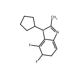 Cc1nc2c(n1C1CCCC1)=C(F)C(F)CC=2